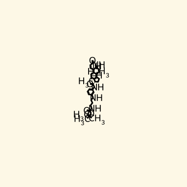 CC(C)(C)OC(=O)NCCCNc1cccc(NC(=O)[C@H]2CC[C@H]3[C@@H]4CC[C@H]5NC(=O)C=C[C@]5(C)[C@H]4CC[C@]23C)c1